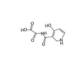 O=C(O)C(=O)NC(=O)C1=C(O)C=CNC1